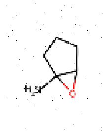 [SiH2]C12CCCC1O2